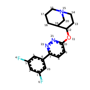 Fc1cc(F)cc(-c2ccc(OC3CCN4CCCC3C4)nn2)c1